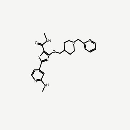 CNC(=O)c1sc(-c2ccnc(NC)c2)nc1OCC1CCN(Cc2ccccn2)CC1